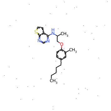 CCCCCc1ccc(OCC(C)Nc2ncnc3sccc23)c(C)c1